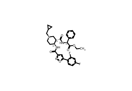 CCOC(=O)[C@@H](NC(=O)[C@H]1CN(CC2CC2)CC[C@@H]1NC(=O)c1cc(-c2ccc(F)cc2F)on1)c1ccccc1